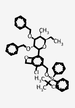 CC[C@H]1OC(c2cc(CO[Si](c3ccccc3)(c3ccccc3)C(C)(C)C)c(Cl)c3c2OC3)[C@H](OCc2ccccc2)[C@@H](OCc2ccccc2)[C@@H]1C